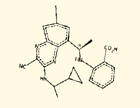 Cc1cc([C@@H](C)Nc2ccccc2C(=O)O)c2nc(NC(C)C3CC3)c(C#N)nc2c1